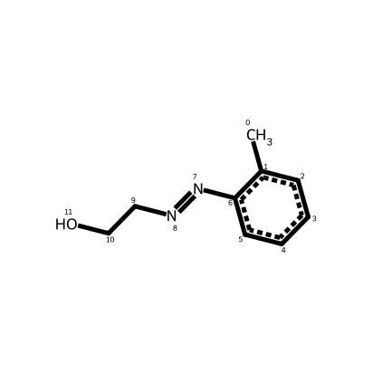 Cc1ccccc1N=NCCO